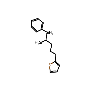 [SiH3]C(CCCc1cccs1)[SiH2]c1ccccc1